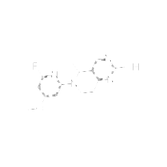 COc1cc(F)nc(N2CCc3nc(O)ncc3C2C)c1